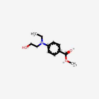 CCN(CCO)c1ccc(C(=O)OC)cc1